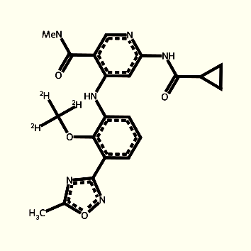 [2H]C([2H])([2H])Oc1c(Nc2cc(NC(=O)C3CC3)ncc2C(=O)NC)cccc1-c1noc(C)n1